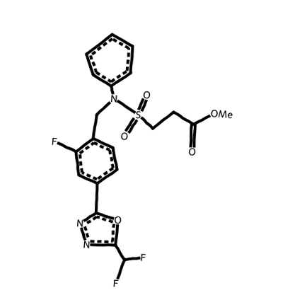 COC(=O)CCS(=O)(=O)N(Cc1ccc(-c2nnc(C(F)F)o2)cc1F)c1ccccc1